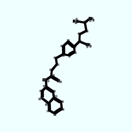 CC(C)CCC(C)c1ccc(CCCC(=O)Nc2cnc3ccccc3c2)cc1